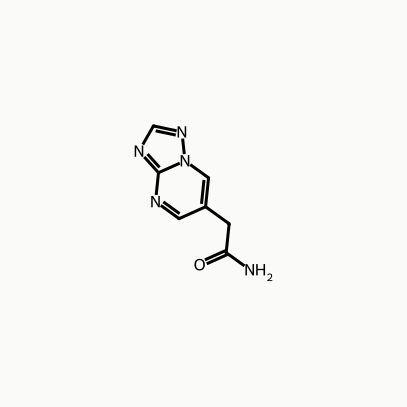 NC(=O)Cc1cnc2ncnn2c1